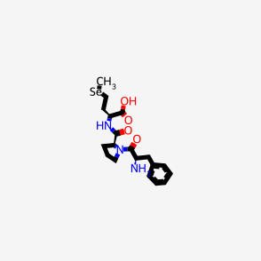 C[Se]CC[C@H](NC(=O)[C@@H]1CCCN1C(=O)[C@@H](N)Cc1ccccc1)C(=O)O